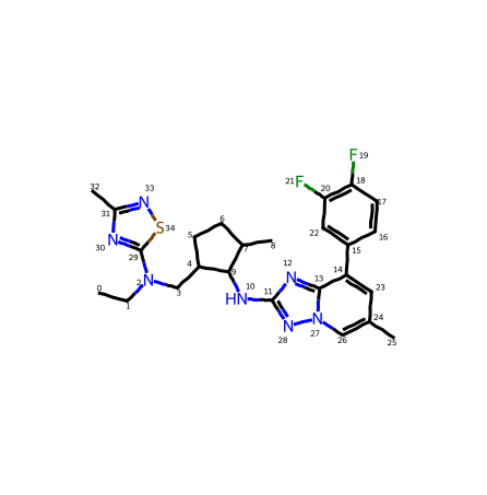 CCN(CC1CCC(C)C1Nc1nc2c(-c3ccc(F)c(F)c3)cc(C)cn2n1)c1nc(C)ns1